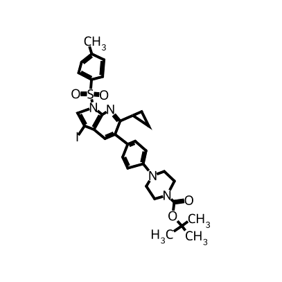 Cc1ccc(S(=O)(=O)n2cc(I)c3cc(-c4ccc(N5CCN(C(=O)OC(C)(C)C)CC5)cc4)c(C4CC4)nc32)cc1